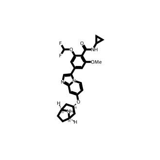 COc1cc(-c2cnc3cc(O[C@@H]4C[C@H]5CC[C@@H](C4)N5)ccn23)cc(OC(F)F)c1C(=O)NC1CC1